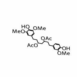 COc1cc(CCC(CC(CCc2cc(OC)c(O)c(OC)c2)OC(C)=O)OC(C)=O)ccc1O